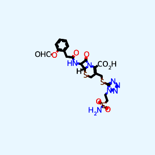 NS(=O)(=O)CCn1nnnc1SCC1=C(C(=O)O)N2C(=O)C(NC(=O)Cc3ccccc3OC=O)[C@H]2SC1